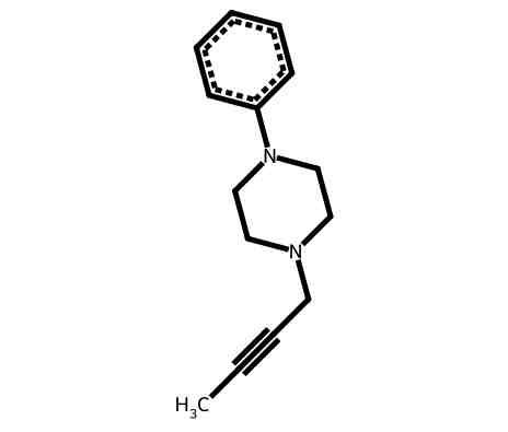 CC#CCN1CCN(c2ccccc2)CC1